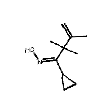 C=C(C)C(C)(C)C(=NO)C1CC1